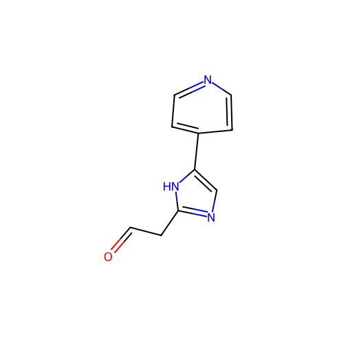 O=CCc1ncc(-c2ccncc2)[nH]1